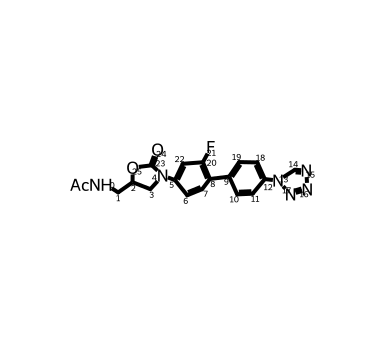 CC(=O)NCC1CN(c2ccc(-c3ccc(-n4cnnn4)cc3)c(F)c2)C(=O)O1